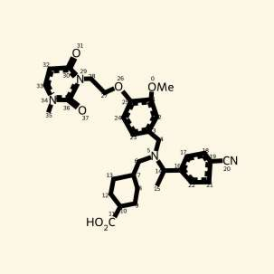 COc1cc(CN(CC2CCC(C(=O)O)CC2)C(C)c2ccc(C#N)cc2)ccc1OCCn1c(=O)ccn(C)c1=O